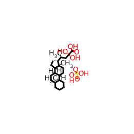 C[C@H](CC(O)(O)C(=O)O)[C@H]1CC[C@H]2[C@@H]3CCC4CCCC[C@]4(C)[C@H]3CC[C@]12C.O=S(=O)(O)O